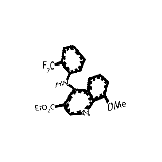 CCOC(=O)c1cnc2c(OC)cccc2c1Nc1ccccc1C(F)(F)F